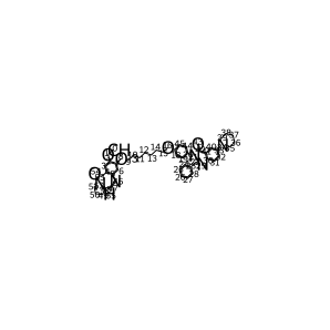 COc1cc2c(cc1OCCCCCCCOc1ccc(-n3c(-c4ccccc4)nc4ccc(N5CCCCC5)cc4c3=O)cc1)N=C[C@@H]1CCCN1C2=O